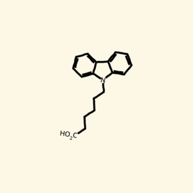 O=C(O)CCCCCn1c2ccccc2c2ccccc21